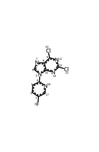 Fc1ccc(-n2cnc3c(Cl)nc(Cl)nc32)nc1